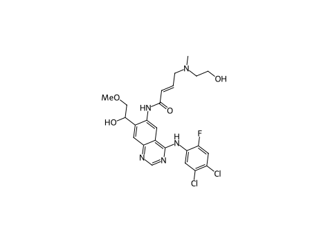 COCC(O)c1cc2ncnc(Nc3cc(Cl)c(Cl)cc3F)c2cc1NC(=O)/C=C/CN(C)CCO